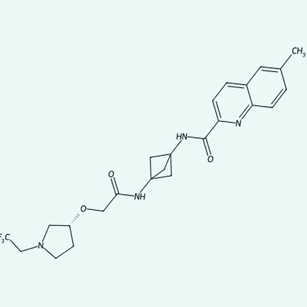 Cc1ccc2nc(C(=O)NC34CC(NC(=O)CO[C@@H]5CCN(CC(F)(F)F)C5)(C3)C4)ccc2c1